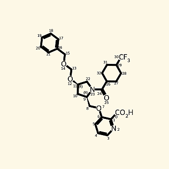 O=C(O)c1ncccc1OC[C@H]1C[C@@H](OCOCc2ccccc2)CN1C(=O)C1CCC(C(F)(F)F)CC1